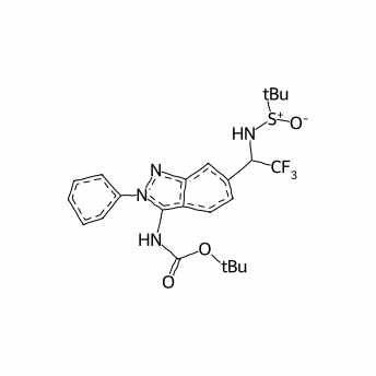 CC(C)(C)OC(=O)Nc1c2ccc(C(N[S+]([O-])C(C)(C)C)C(F)(F)F)cc2nn1-c1ccccc1